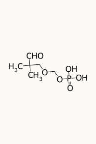 CC(C)(C=O)COCOP(=O)(O)O